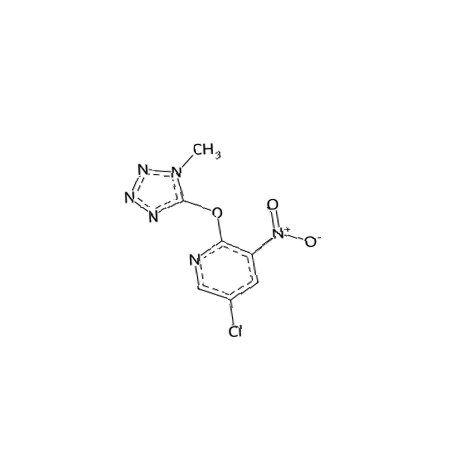 Cn1nnnc1Oc1ncc(Cl)cc1[N+](=O)[O-]